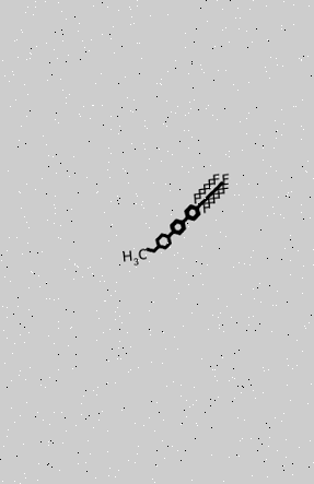 CCCC1CCC(c2ccc(-c3ccc(C(F)(F)C(F)(F)C(F)(F)C(F)(F)C(F)(F)F)cc3)cc2)CC1